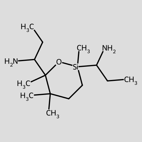 CCC(N)C1(C)O[Si](C)(C(N)CC)CCC1(C)C